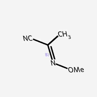 CO/N=C(\C)C#N